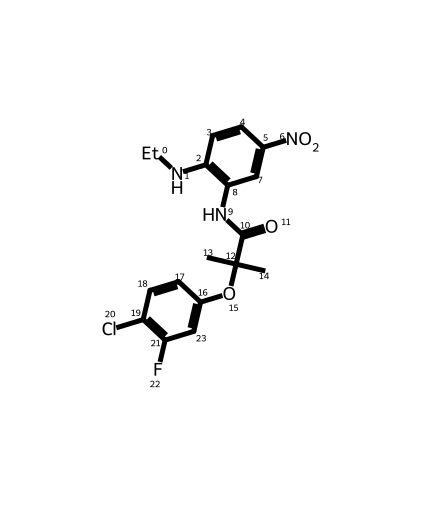 CCNc1ccc([N+](=O)[O-])cc1NC(=O)C(C)(C)Oc1ccc(Cl)c(F)c1